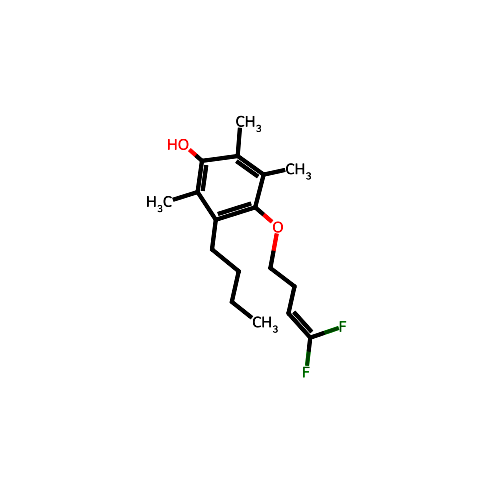 CCCCc1c(C)c(O)c(C)c(C)c1OCCC=C(F)F